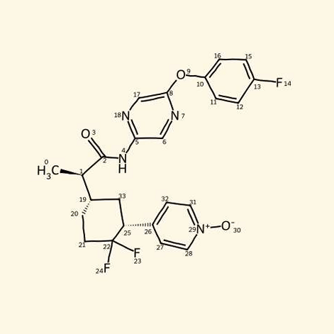 C[C@@H](C(=O)Nc1cnc(Oc2ccc(F)cc2)cn1)[C@H]1CCC(F)(F)[C@@H](c2cc[n+]([O-])cc2)C1